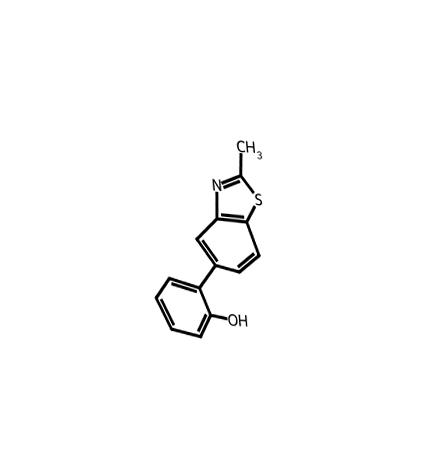 Cc1nc2cc(-c3ccccc3O)ccc2s1